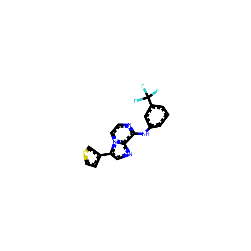 FC(F)(F)c1cccc(Nc2nccn3c(-c4ccsc4)cnc23)c1